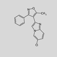 Cc1onc(-c2ccccc2)c1-c1cn2cc(Cl)ccc2n1